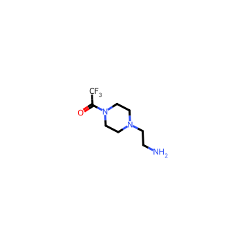 NCCN1CCN(C(=O)C(F)(F)F)CC1